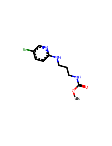 CC(C)(C)OC(=O)NCCCNc1ccc(Br)cn1